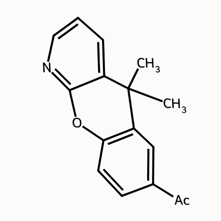 CC(=O)c1ccc2c(c1)C(C)(C)c1cccnc1O2